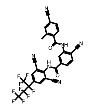 Cc1cc(C#N)ccc1C(=O)Nc1cc(C(=O)Nc2c(C#N)cc(C(F)(C(F)(F)F)C(F)(F)C(F)(F)F)cc2C#N)ccc1C#N